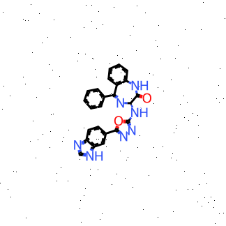 O=C1Nc2ccccc2C(c2ccccc2)=N[C@@H]1Nc1nnc(-c2ccc3nc[nH]c3c2)o1